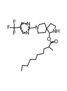 CCCCCCCCC(C)C(=O)OC1NCCC12CCN(c1ncc(C(F)(F)F)cn1)CC2